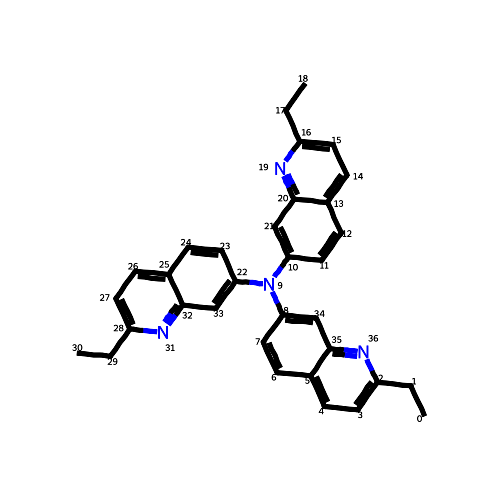 CCc1ccc2ccc(N(c3ccc4ccc(CC)nc4c3)c3ccc4ccc(CC)nc4c3)cc2n1